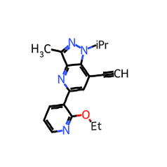 C#Cc1cc(-c2cccnc2OCC)nc2c(C)nn(C(C)C)c12